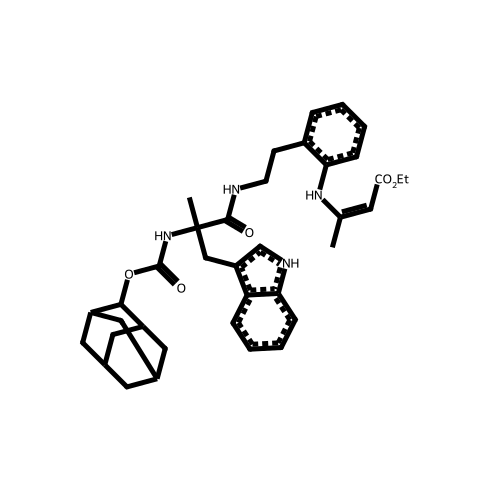 CCOC(=O)/C=C(/C)Nc1ccccc1CCNC(=O)C(C)(Cc1c[nH]c2ccccc12)NC(=O)OC1C2CC3CC(C2)CC1C3